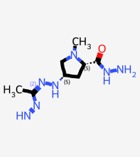 C/C(N=N)=N/N[C@H]1C[C@@H](C(=O)NN)N(C)C1